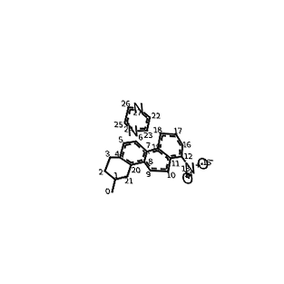 CC1CCc2ccc3c(ccc4c([N+](=O)[O-])cccc43)c2C1.c1cnccn1